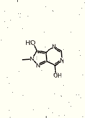 Cn1nc2c(O)ncnc2c1O